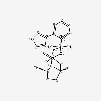 CC(C)(C)OC(=O)N1[C@@H]2CC[C@H]1C[C@@H](OCc1ccccc1-c1ccoc1)C2